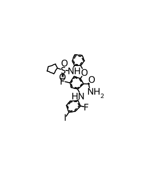 NC(=O)c1c(Nc2ccc(I)cc2F)cc(F)cc1Oc1ccccc1NS(=O)(=O)C1CCCC1